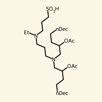 CCCCCCCCCCCCC(CN(CCCN(CC)CCCS(=O)(=O)O)CC(CCCCCCCCCCCC)OC(C)=O)OC(C)=O